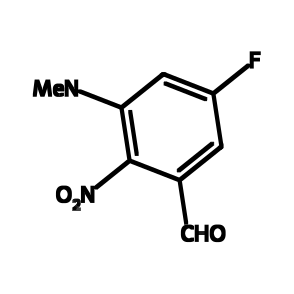 CNc1cc(F)cc(C=O)c1[N+](=O)[O-]